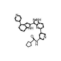 O=C(Nc1cncc(-c2ccc3[nH]nc(-c4cc5c(-c6ccncc6)cccc5[nH]4)c3n2)c1)C1CCCC1